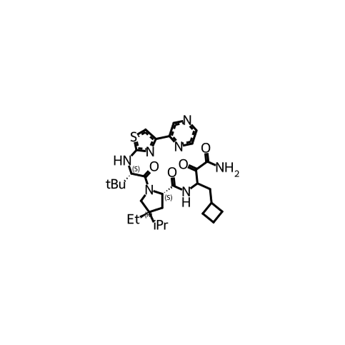 CC[C@]1(C(C)C)C[C@@H](C(=O)NC(CC2CCC2)C(=O)C(N)=O)N(C(=O)[C@@H](Nc2nc(-c3cnccn3)cs2)C(C)(C)C)C1